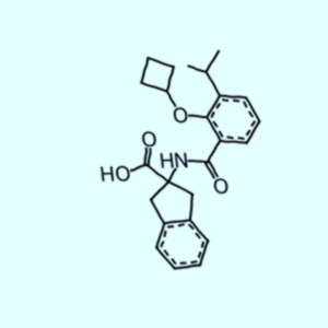 CC(C)c1cccc(C(=O)NC2(C(=O)O)Cc3ccccc3C2)c1OC1CCC1